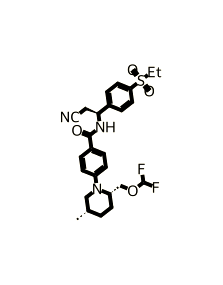 CCS(=O)(=O)c1ccc([C@H](CC#N)NC(=O)c2ccc(N3C[C@@H](C)CC[C@H]3COC(F)F)cc2)cc1